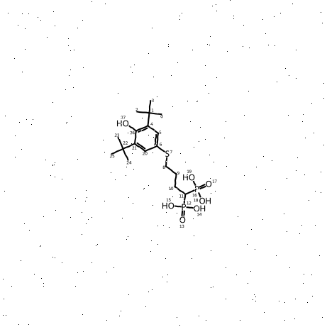 CC(C)(C)c1cc(SCCCC(P(=O)(O)O)P(=O)(O)O)cc(C(C)(C)C)c1O